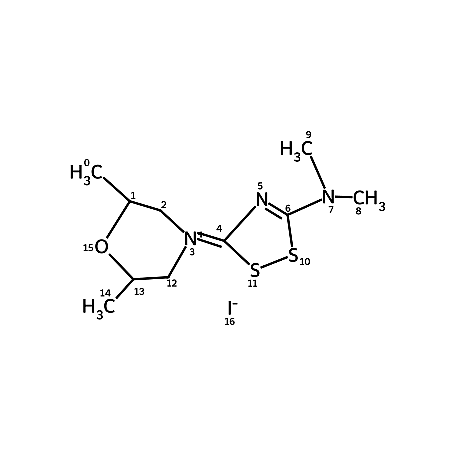 CC1C[N+](=c2nc(N(C)C)ss2)CC(C)O1.[I-]